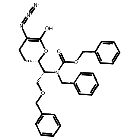 [N-]=[N+]=NC1=C(O)O[C@H]([C@@H](COCc2ccccc2)N(Cc2ccccc2)C(=O)OCc2ccccc2)CC1